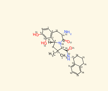 CC1(C)C[C@@H]2c3c(ccc(O)c3O)C[C@H](N)C(=O)N2[C@H]1C(=O)N[C@@H]1CCCc2ccccc21